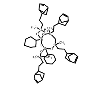 C[Si](C)(CCC1CC2C=CC1C2)O[Si]1(C2CCCCC2)O[Si](C)(CCC2CC3C=CC2C3)C[Si](C)(CCC2CC3C=CC2C3)O[Si](O[Si](C)(C)CCC2CC3C=CC2C3)(C2CCCCC2)O1